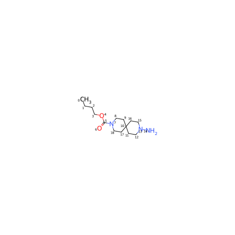 CCCCOC(=O)N1CCC2(CCN(N)CC2)CC1